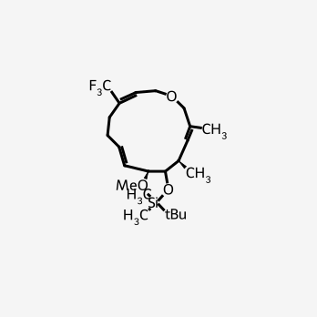 CO[C@H]1/C=C/CC/C(C(F)(F)F)=C\COC/C(C)=C\[C@@H](C)C1O[Si](C)(C)C(C)(C)C